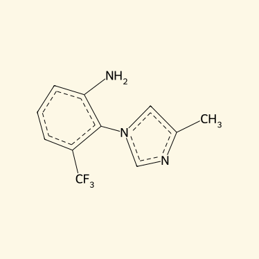 Cc1cn(-c2c(N)cccc2C(F)(F)F)cn1